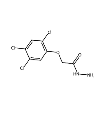 NNC(=O)COc1cc(Cl)c(Cl)cc1Cl